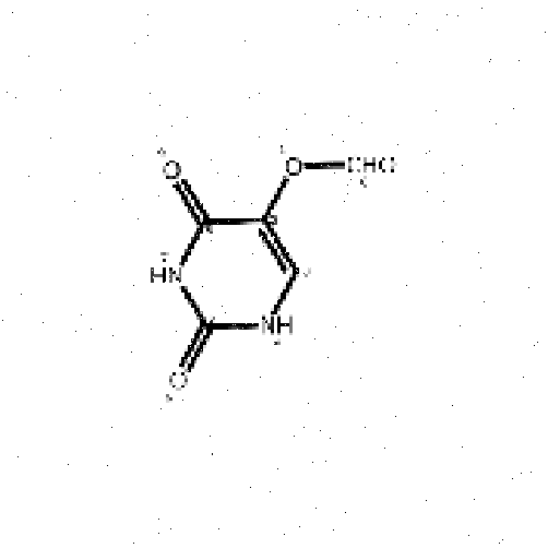 O=COc1c[nH]c(=O)[nH]c1=O